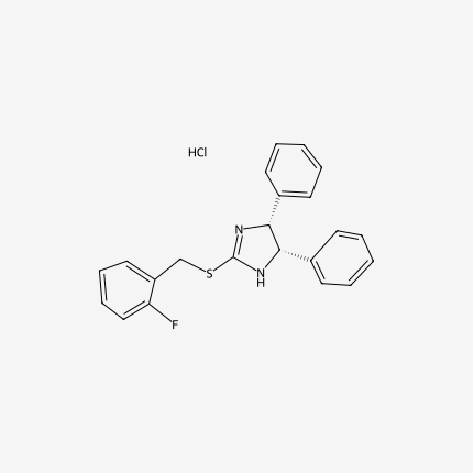 Cl.Fc1ccccc1CSC1=N[C@H](c2ccccc2)[C@H](c2ccccc2)N1